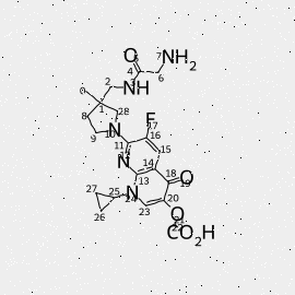 CC1(CNC(=O)CN)CCN(c2nc3c(cc2F)c(=O)c(OC(=O)O)cn3C2CC2)C1